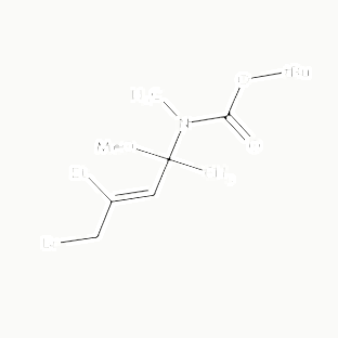 CC/C(=C\C(C)(OC)N(C)C(=O)OC(C)(C)C)CBr